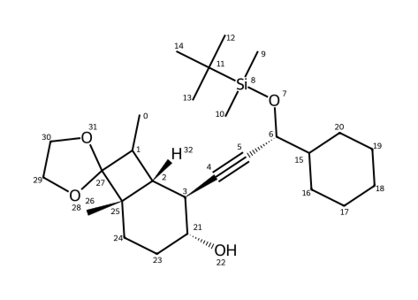 CC1[C@@H]2[C@@H](C#C[C@H](O[Si](C)(C)C(C)(C)C)C3CCCCC3)[C@H](O)CC[C@]2(C)C12OCCO2